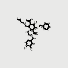 C=CCOCc1c(C(=C)C)c(=O)c(OCc2ccccc2)c2n1CCN(Cc1ccc(F)c(Cl)c1)C2=O